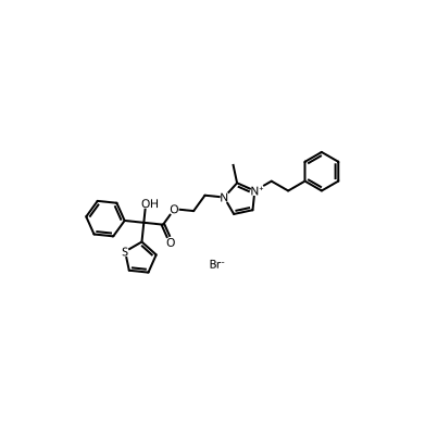 Cc1n(CCOC(=O)C(O)(c2ccccc2)c2cccs2)cc[n+]1CCc1ccccc1.[Br-]